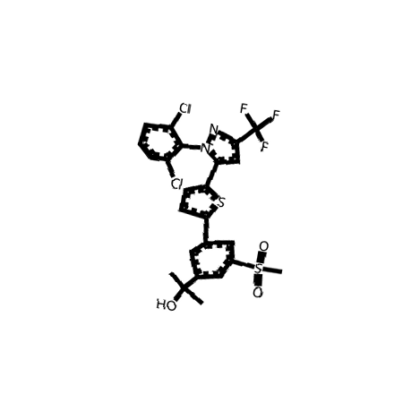 CC(C)(O)c1cc(-c2ccc(-c3cc(C(F)(F)F)nn3-c3c(Cl)cccc3Cl)s2)cc(S(C)(=O)=O)c1